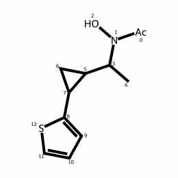 CC(=O)N(O)C(C)C1CC1c1cccs1